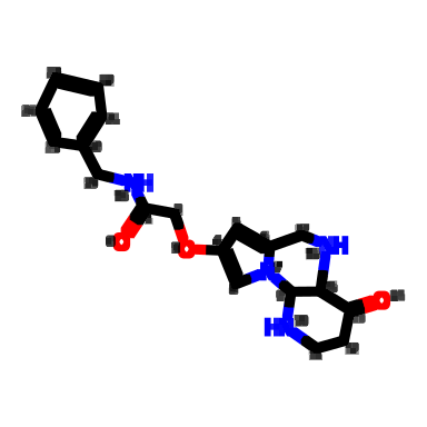 O=C(COc1cc2n(c1)C1NCCC(=O)C1NC2)NCc1ccccc1